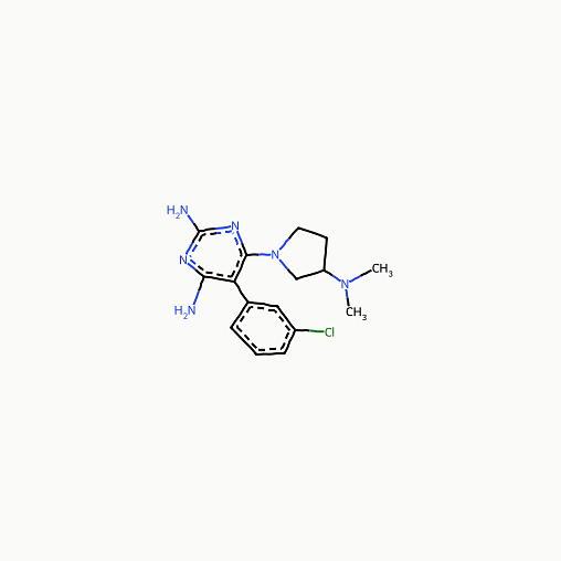 CN(C)C1CCN(c2nc(N)nc(N)c2-c2cccc(Cl)c2)C1